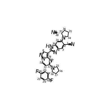 N#Cc1cc2nc(-c3cnn4ccc(N5CCC[C@@H]5c5cc(F)ccc5F)nc34)[nH]c2cc1N1CCC[C@H]1C#N